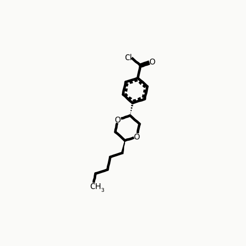 CCCCC[C@H]1CO[C@H](c2ccc(C(=O)Cl)cc2)CO1